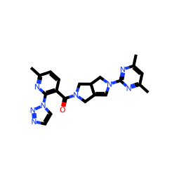 Cc1cc(C)nc(N2C=C3CN(C(=O)c4ccc(C)nc4-n4ccnn4)CC3C2)n1